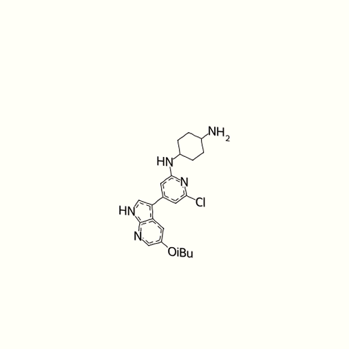 CC(C)COc1cnc2[nH]cc(-c3cc(Cl)nc(NC4CCC(N)CC4)c3)c2c1